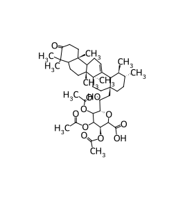 CC(=O)OC1C(OC(C)=O)[C@H]([C@H](O)C[C@]23CC[C@@H](C)[C@H](C)C2C2=CCC4[C@@]5(C)CCC(=O)C(C)(C)C5CC[C@@]4(C)[C@]2(C)CC3)OC(C(=O)O)[C@H]1OC(C)=O